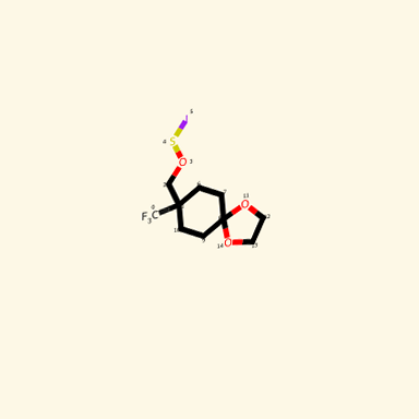 FC(F)(F)C1(COSI)CCC2(CC1)OCCO2